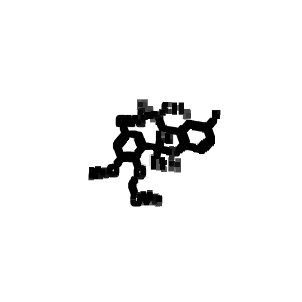 CCC(CC)(Pc1ccc(F)cc1CN(C)C)c1cc(OC)cc(OC)c1OCOC